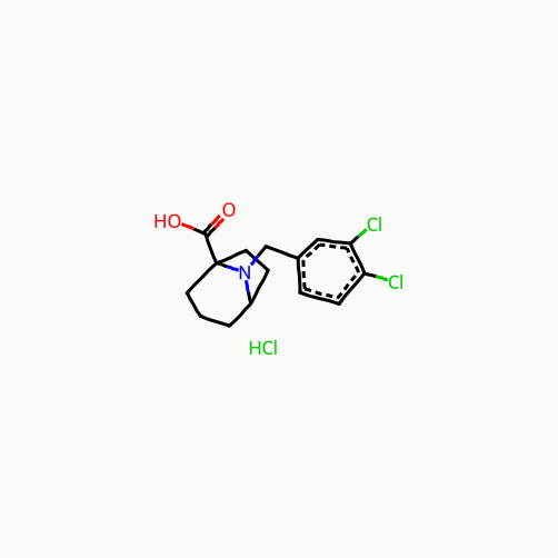 Cl.O=C(O)C12CCCC(CC1)N2Cc1ccc(Cl)c(Cl)c1